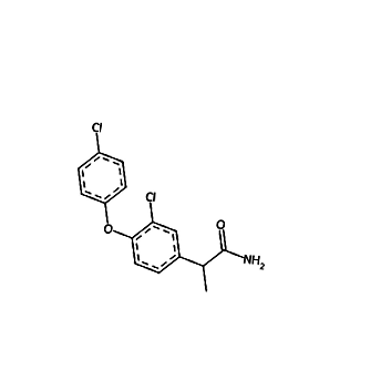 CC(C(N)=O)c1ccc(Oc2ccc(Cl)cc2)c(Cl)c1